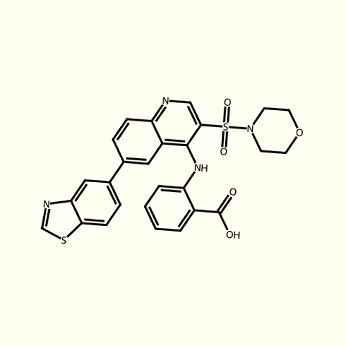 O=C(O)c1ccccc1Nc1c(S(=O)(=O)N2CCOCC2)cnc2ccc(-c3ccc4scnc4c3)cc12